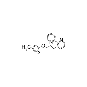 Cc1csc(OCCCc2cccnc2-c2ccccn2)c1